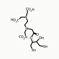 O=C(O)CN(CCN(CC(=O)O)CC(=O)OC(CS)C(O)CS)CC(=O)O